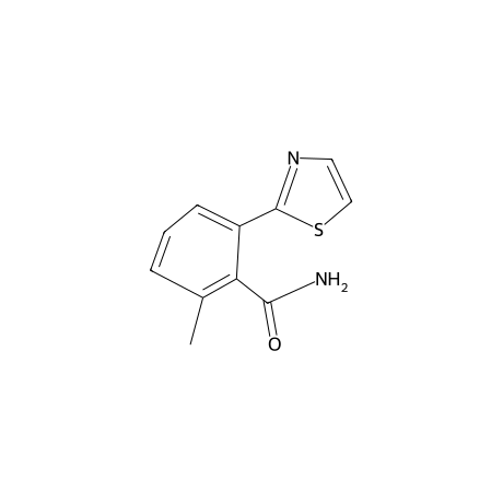 Cc1cccc(-c2nccs2)c1C(N)=O